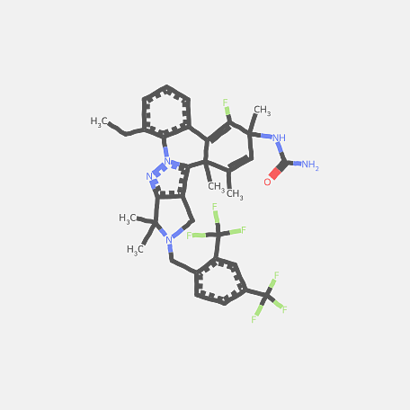 CCc1cccc2c1-n1nc3c(c1C1(C)C(C)=CC(C)(NC(N)=O)C(F)=C21)CN(Cc1ccc(C(F)(F)F)cc1C(F)(F)F)C3(C)C